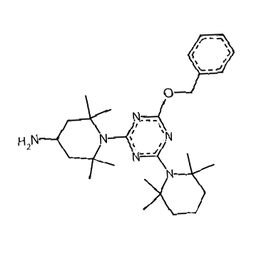 CC1(C)CCCC(C)(C)N1c1nc(OCc2ccccc2)nc(N2C(C)(C)CC(N)CC2(C)C)n1